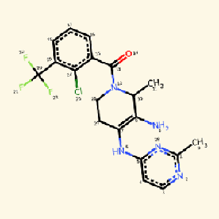 Cc1nccc(NC2=C(N)C(C)N(C(=O)c3cccc(C(F)(F)F)c3Cl)CC2)n1